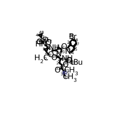 C=CC1CC1(NC(=O)C1CC(Oc2nccc3ccc(Br)cc23)CN1C(=O)C(CCC(=O)/C(C)=C/C)NC(=O)OC(C)(C)C)C(=O)NS(=O)(=O)C1CC1